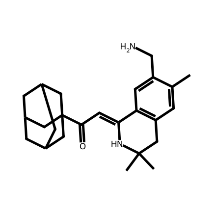 Cc1cc2c(cc1CN)/C(=C/C(=O)C13CC4CC(CC(C4)C1)C3)NC(C)(C)C2